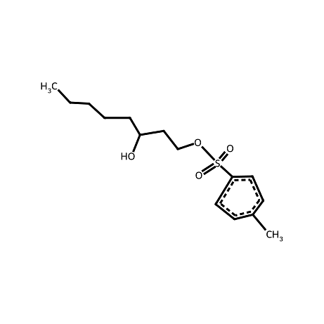 CCCCCC(O)CCOS(=O)(=O)c1ccc(C)cc1